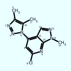 Cc1nnn(-c2cc(Cl)nc3c2cnn3C)c1C